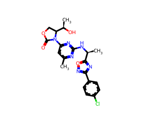 Cc1cc(N2C(=O)OCC2[C@@H](C)O)nc(N[C@@H](C)c2nc(-c3ccc(Cl)cc3)no2)n1